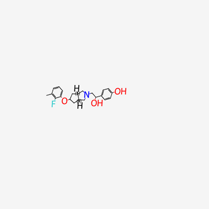 Cc1cccc(OC2C[C@@H]3CN(CC(O)c4ccc(O)cc4)C[C@@H]3C2)c1F